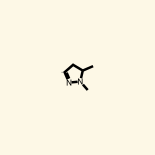 CC1C[C]=NN1C